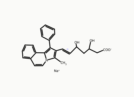 Cc1c(/C=C/C(O)CC(O)CC(=O)[O-])c(-c2ccccc2)c2c3ccccc3ccn12.[Na+]